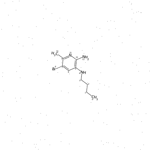 CCCCNc1cc(Br)c(C)nc1N